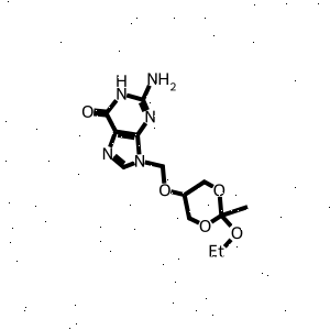 CCOC1(C)OCC(OCn2cnc3c(=O)[nH]c(N)nc32)CO1